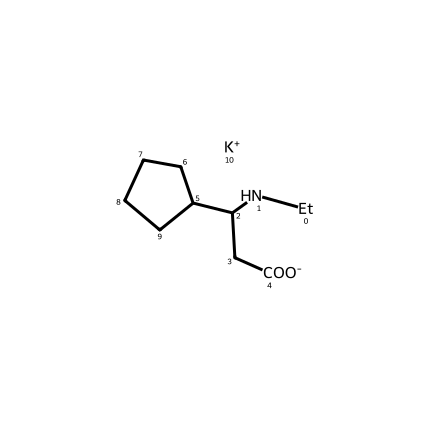 CCNC(CC(=O)[O-])C1CCCC1.[K+]